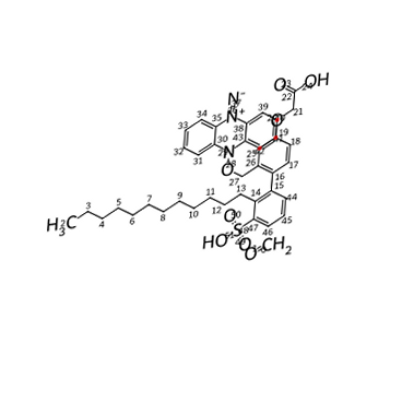 C=O.CCCCCCCCCCCCc1c(-c2ccc(OCC(=O)O)cc2CON2c3ccccc3[N+](=[N-])c3ccccc32)cccc1S(=O)(=O)O